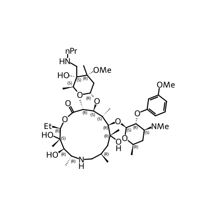 CCCNC[C@]1(O)[C@H](C)O[C@@H](O[C@H]2[C@H](C)[C@@H](O[C@@H]3O[C@H](C)C[C@H](NC)[C@H]3Oc3cccc(OC)c3)[C@](C)(O)C[C@@H](C)CN[C@H](C)[C@@H](O)[C@](C)(O)[C@@H](CC)OC(=O)[C@@H]2C)C[C@@]1(C)OC